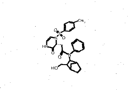 Cc1ccc(S(=O)(=O)N2C=CNC(=O)[C@H]2CC(=O)N(c2ccccc2)C2C3CCC(C3)C2CO)cc1